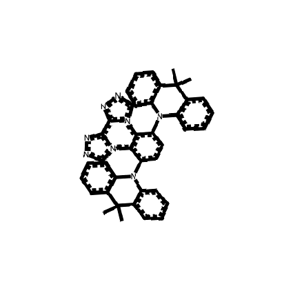 CC1(C)c2ccccc2N(c2ccc(N3c4ccccc4C(C)(C)c4ccccc43)c3c2n2cnnc2c2nncn23)c2ccccc21